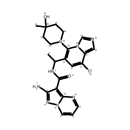 CC(NC(=O)c1c(N)nn2cccnc12)c1cc(Cl)c2cncn2c1N1CCC(C)(O)CC1